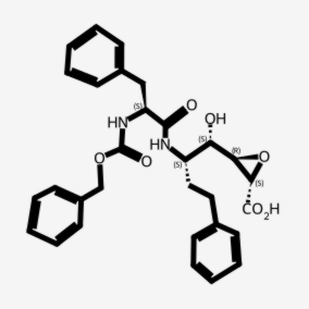 O=C(N[C@@H](Cc1ccccc1)C(=O)N[C@@H](CCc1ccccc1)[C@H](O)[C@H]1O[C@@H]1C(=O)O)OCc1ccccc1